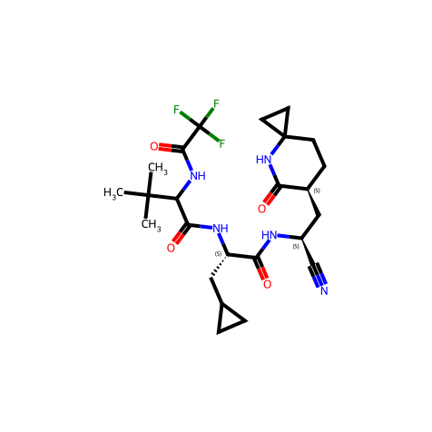 CC(C)(C)C(NC(=O)C(F)(F)F)C(=O)N[C@@H](CC1CC1)C(=O)N[C@H](C#N)C[C@@H]1CCC2(CC2)NC1=O